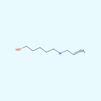 C=CC[N]CCCCCO